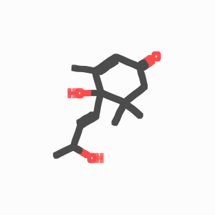 CC1=CC(=O)CC(C)(C)C1(O)/C=C/C(C)O